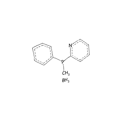 B.CP(c1ccccc1)c1ccccn1